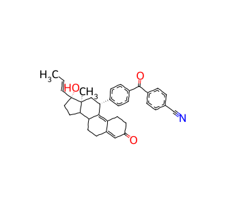 CC=C[C@]1(O)CCC2C3CCC4=CC(=O)CCC4=C3[C@@H](c3ccc(C(=O)c4ccc(C#N)cc4)cc3)C[C@@]21C